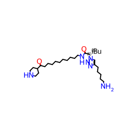 CC[C@H](C)[C@@H](C(=O)NCCCCCCCCCCC(=O)C1CCNCC1)n1cc(CCCCCN)nn1